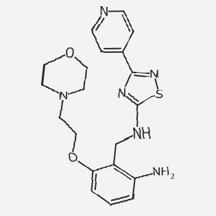 Nc1cccc(OCCN2CCOCC2)c1CNc1nc(-c2ccncc2)ns1